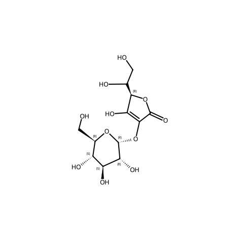 O=C1O[C@H](C(O)CO)C(O)=C1O[C@H]1O[C@H](CO)[C@@H](O)[C@H](O)[C@H]1O